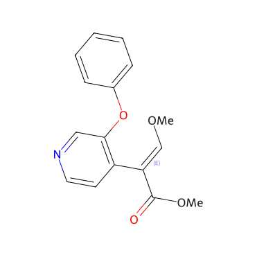 CO/C=C(/C(=O)OC)c1ccncc1Oc1ccccc1